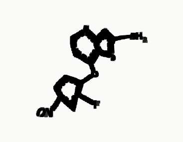 Bc1cc2nccc(Oc3ccc(N=O)cc3F)c2s1